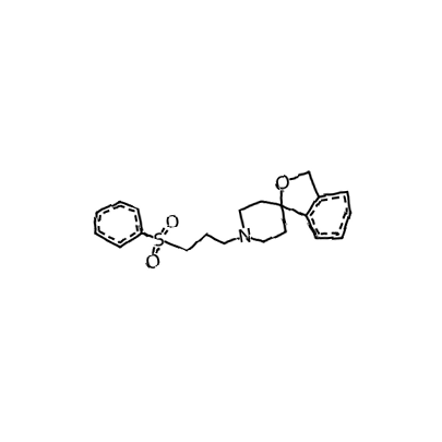 O=S(=O)(CCCN1CCC2(CC1)OCc1ccccc12)c1ccccc1